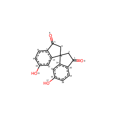 O=C1CC2(CC(=O)c3ccc(O)cc32)c2cc(O)ccc21